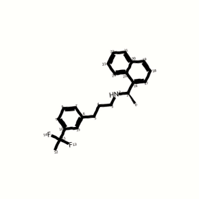 C[C@@H](NCCCc1cccc(C(C)(F)F)c1)c1cccc2ccccc12